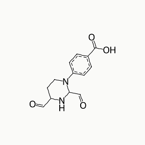 O=CC1CCN(c2ccc(C(=O)O)cc2)C(C=O)N1